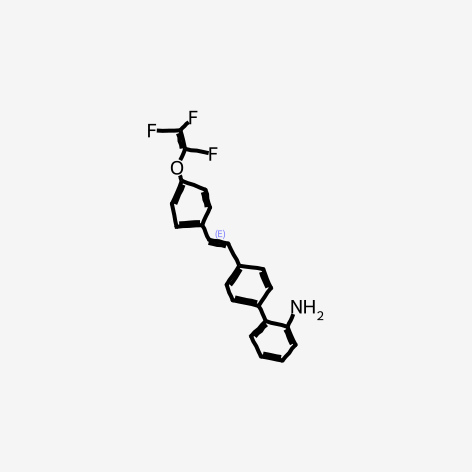 Nc1ccccc1-c1ccc(/C=C/c2ccc(OC(F)=C(F)F)cc2)cc1